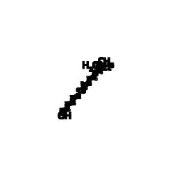 CCC(C)(C)CCCCCCSSCCCCCCO